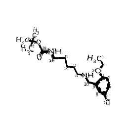 CCOc1ccc(Cl)cc1CNCCCCCNC(=O)OC(C)(C)C